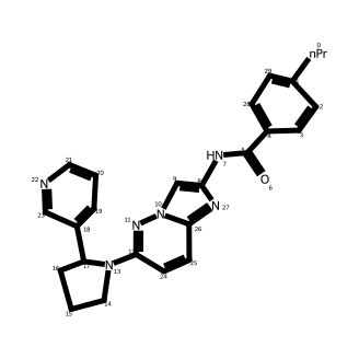 CCCc1ccc(C(=O)Nc2cn3nc(N4CCCC4c4cccnc4)ccc3n2)cc1